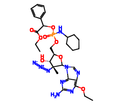 CCOC(=O)C(OP(=O)(NC1CCCCC1)OC[C@H]1OC(n2cnc3c(OCC)nc(N)nc32)[C@](C)(N=[N+]=[N-])[C@@H]1O)c1ccccc1